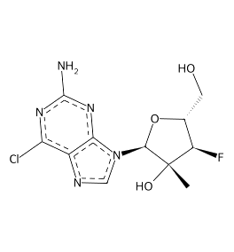 C[C@]1(O)[C@H](F)[C@@H](CO)O[C@@H]1n1cnc2c(Cl)nc(N)nc21